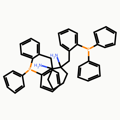 NC1(Cc2ccccc2P(c2ccccc2)c2ccccc2)CCCCC1(N)Cc1ccccc1P(c1ccccc1)c1ccccc1